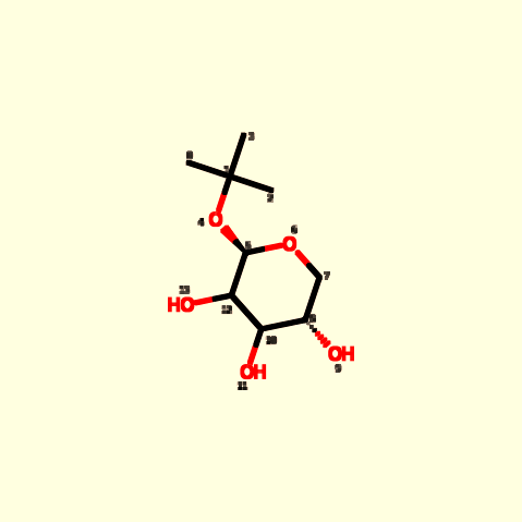 CC(C)(C)O[C@H]1OC[C@H](O)C(O)C1O